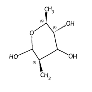 C[C@H]1C(O)O[C@@H](C)[C@H](O)C1O